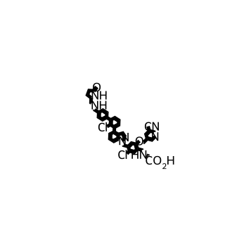 N#Cc1cncc(COc2cc(Cn3ncc4c(-c5cccc(-c6ccc(CNCC7CCC(=O)N7)cc6)c5Cl)cccc43)c(Cl)cc2CNCC(=O)O)c1